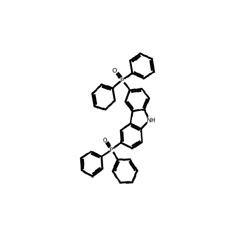 O=P(C1=CCCC=C1)(c1ccccc1)c1ccc2[nH]c3ccc(P(=O)(C4=CC=CCC4)c4ccccc4)cc3c2c1